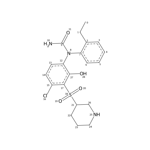 CCc1ccccc1N(C(N)=O)c1ccc(Cl)c(S(=O)(=O)C2CCCNC2)c1O